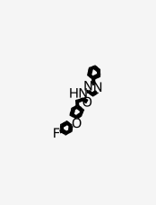 O=C(Cc1ccc(Oc2ccc(F)cc2)cc1)Nc1ccnc(-c2ccccc2)n1